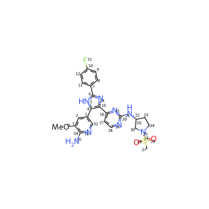 COc1cc(-c2[nH]c(-c3ccc(F)cc3)nc2-c2ccnc(N[C@H]3CCN(S(C)(=O)=O)C3)n2)cnc1N